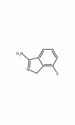 NC1=NCc2c(F)cccc21